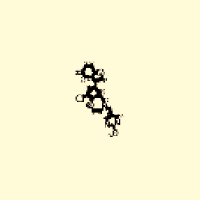 COc1ncc(CN2CCOc3c(Cl)cc(-c4coc5ccccc45)cc3C2)cn1